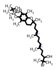 C/C(=C\CC[C@]1(C)CCc2c(C)c(O[Si](C)(C)C(C)(C)C)c(C)c(C)c2O1)CC/C=C(\C)CCC(O)C(C)(C)Br